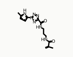 C=C(C)C(=O)NCCCNC(=O)c1nnn(-c2ccc(C)[nH]2)n1